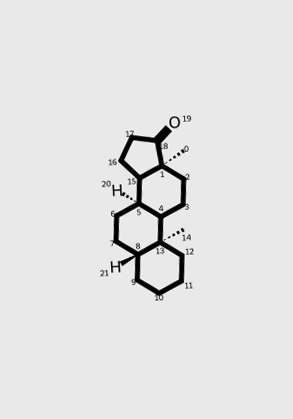 C[C@]12CCC3[C@@H](CC[C@H]4CCCC[C@]34C)C1CCC2=O